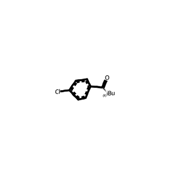 CC[C@@H](C)C(=O)c1ccc(Cl)cc1